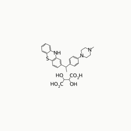 CC(c1ccc(N2CCN(C)CC2)cc1)c1ccc2c(c1)Nc1ccccc1S2.O=C(O)C(O)C(O)C(=O)O